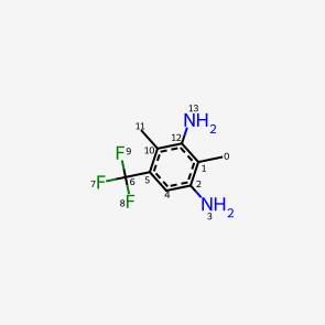 Cc1c(N)cc(C(F)(F)F)c(C)c1N